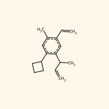 C=Cc1cc(C(C)C=C)c(C2CCC2)cc1C